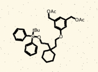 CC(=O)OCc1cc(COC(C)=O)cc(OCCC2(CCO[Si](c3ccccc3)(c3ccccc3)C(C)(C)C)CCCCC2)c1